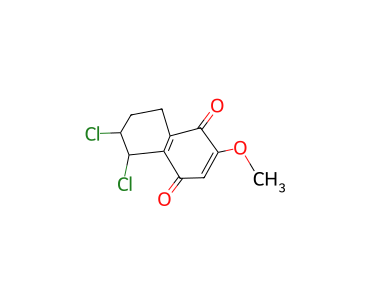 COC1=CC(=O)C2=C(CCC(Cl)C2Cl)C1=O